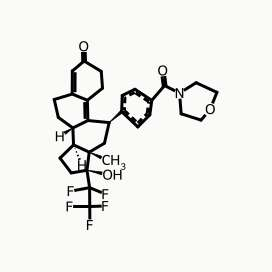 C[C@]12C[C@H](c3ccc(C(=O)N4CCOCC4)cc3)C3=C4CCC(=O)C=C4CC[C@H]3[C@@H]1CC[C@@]2(O)C(F)(F)C(F)(F)F